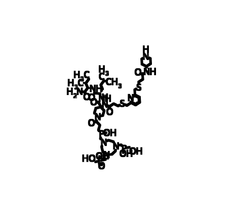 CC[C@H](C)[C@H](NC(=O)[C@H](CCC(C)C)NC(=O)C1(NC(=O)CCSCc2cccc(CSCCC(=O)NC3CCNCC3)n2)CCN(C(=O)CCP(O)CN2CCN(CP(O)CO)CCN(CP(=O)(O)CO)CC2)CC1)C(N)=O